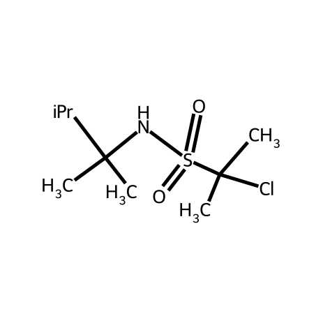 CC(C)C(C)(C)NS(=O)(=O)C(C)(C)Cl